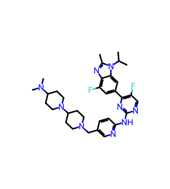 Cc1nc2c(F)cc(-c3nc(Nc4ccc(CN5CCC(N6CCC(N(C)C)CC6)CC5)cn4)ncc3F)cc2n1C(C)C